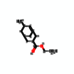 CC1C=C2CC(C1)CC(C(=O)OCC(=O)O)C2